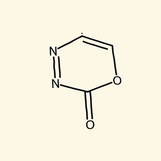 O=c1nn[c]co1